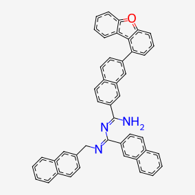 N/C(=N\C(=N/Cc1ccc2ccccc2c1)c1ccc2ccccc2c1)c1ccc2ccc(-c3cccc4oc5ccccc5c34)cc2c1